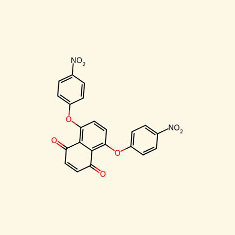 O=C1C=CC(=O)c2c(Oc3ccc([N+](=O)[O-])cc3)ccc(Oc3ccc([N+](=O)[O-])cc3)c21